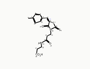 Cc1ccc(/C=C2/SC(=S)N(CCC(=O)NCCC(=O)O)C2=O)cc1